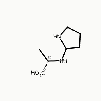 C[C@H](NC1CCCN1)C(=O)O